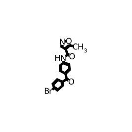 Cc1oncc1C(=O)Nc1ccc(C(=O)c2ccc(Br)cc2)cc1